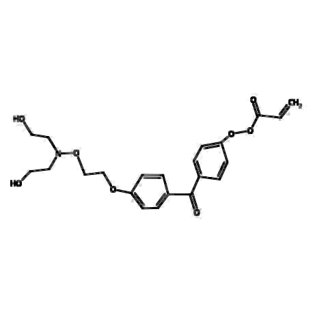 C=CC(=O)OOc1ccc(C(=O)c2ccc(OCCON(CCO)CCO)cc2)cc1